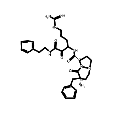 N=C(N)NCCCC(NC(=O)[C@@H]1CCN2CC[C@@](N)(Cc3ccccc3)C(=O)N12)C(=O)C(=O)NCCc1ccccc1